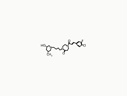 C[C@H]1C[C@@H](O)CN(CCCCN2CCN(C(=O)/C=C/c3ccc(Cl)c(F)c3)CCC2=O)C1